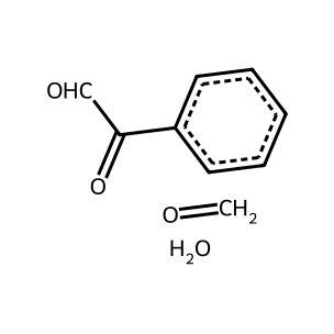 C=O.O.O=CC(=O)c1ccccc1